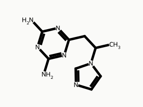 CC(Cc1nc(N)nc(N)n1)n1ccnc1